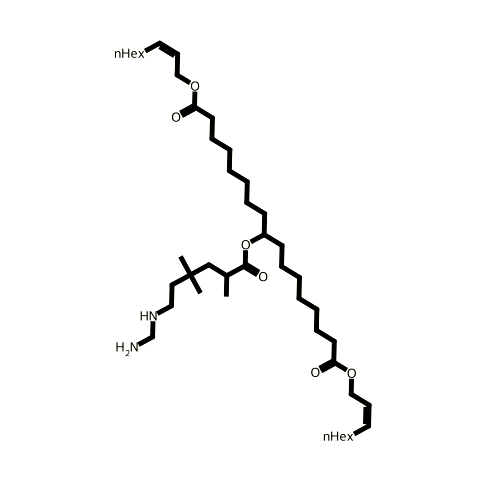 CCCCCC/C=C\COC(=O)CCCCCCCC(CCCCCCCC(=O)OC/C=C\CCCCCC)OC(=O)C(C)CC(C)(C)CCNCN